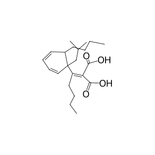 CCCCC(=C(C(=O)O)C(=O)O)C1(CC(C)C)C=CC=CC1CCCC